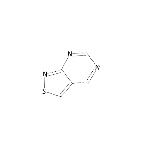 c1ncc2csnc2n1